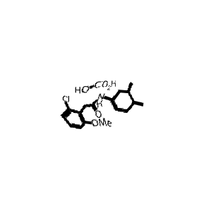 COc1cccc(Cl)c1CC(=O)NC1CCC(C)C(C)C1.O=C(O)O